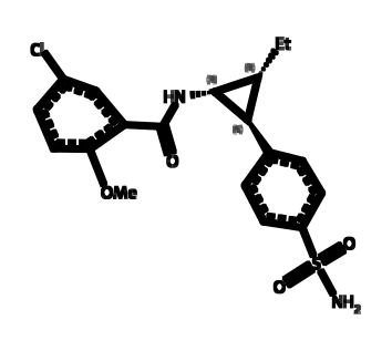 CC[C@H]1[C@@H](NC(=O)c2cc(Cl)ccc2OC)[C@@H]1c1ccc(S(N)(=O)=O)cc1